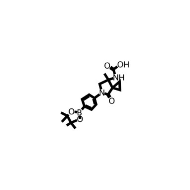 CC1(NC(=O)O)CN(c2ccc(B3OC(C)(C)C(C)(C)O3)cc2)C(=O)C12CC2